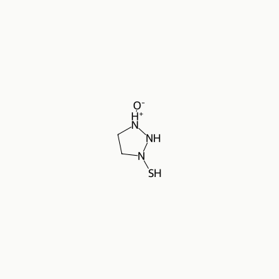 [O-][NH+]1CCN(S)N1